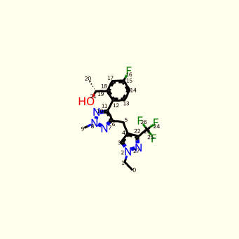 CCn1cc(Cc2nn(C)nc2-c2ccc(F)cc2[C@@H](C)O)c(C(F)(F)F)n1